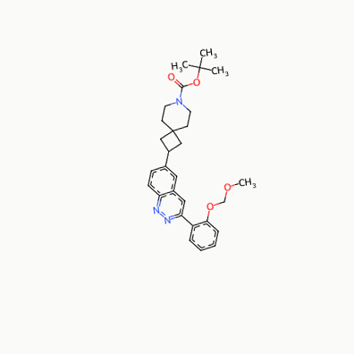 COCOc1ccccc1-c1cc2cc(C3CC4(CCN(C(=O)OC(C)(C)C)CC4)C3)ccc2nn1